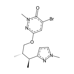 C[C@H](COc1cc(Br)c(=O)n(C)n1)[C@H](C)c1ccn(C)n1